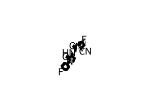 N#C[C@@H]1C[C@H](F)CN1C(=O)CNC1CCN(c2ccc(F)cc2)C1=O